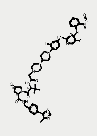 Cc1ncsc1-c1ccc(CNC(=O)[C@H]2C[C@@H](O)CN2C(=O)[C@@H](NC(=O)CN2CCN(C3CCN(c4ccc(Nc5ncc(Cl)c(Nc6ccccc6N(C)[SH]=O)n5)cc4F)CC3)CC2)C(C)(C)C)cc1